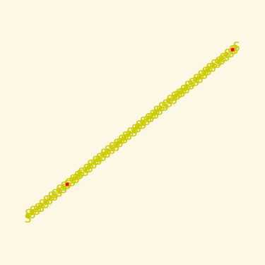 S=S=S=S=S=S=S=S=S=S=S=S=S=S=S=S=S=S=S=S=S=S=S=S=S=S=S=S=S=S=S=S=S=S=S=S=S=S=S=S=S=S=S=S=S=S=S=S=S=S=S=S=S=S=S=S=S=S=S=S=S=S=S=S=S=S=S=S=S=S=S=S=S=S=S=S=S=S=S=S=S=S=S=S=S=S=S=S=S=S=S=S=S=S=S=S